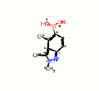 Cn1nc2ccc(B(O)O)c(Cl)c2c1Cl